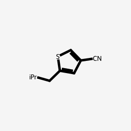 CC(C)Cc1cc(C#N)cs1